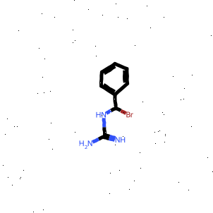 N=C(N)NC(Br)c1ccccc1